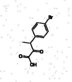 CC(C(=O)C(=O)O)c1ccc(Br)cc1